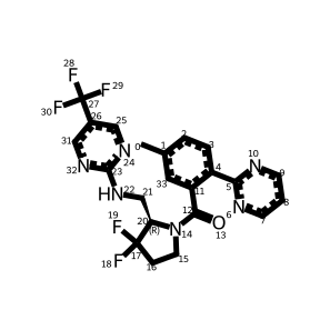 Cc1ccc(-c2ncccn2)c(C(=O)N2CCC(F)(F)[C@H]2CNc2ncc(C(F)(F)F)cn2)c1